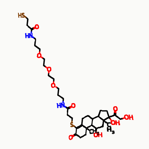 CC12CCC(=O)C(SCCC(=O)NCCCOCCOCCOCCCNC(=O)CCS)=C1CCC1C2C(O)CC2(C)C1CCC2(O)C(=O)CO